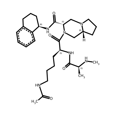 CN[C@@H](C)C(=O)N[C@@H](CCCCNC(C)=O)C(=O)N1C[C@H]2CCCN2C[C@H]1C(=O)N[C@@H]1CCCc2ccccc21